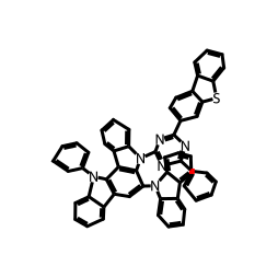 c1ccc(-c2nc(-c3ccc4c(c3)sc3ccccc34)nc(-n3c4ccccc4c4c3c(-n3c5ccccc5c5ccccc53)cc3c5ccccc5n(-c5ccccc5)c34)n2)cc1